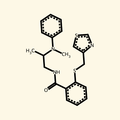 CC(CNC(=O)c1ccccc1SCc1cscn1)N(C)c1ccccc1